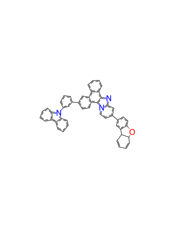 C1=CC2Oc3ccc(-c4ccn5c(c4)nc4c6ccccc6c6cc(-c7cccc(-n8c9ccccc9c9ccccc98)c7)ccc6c45)cc3C2C=C1